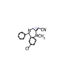 CN1/C(=C\C#N)CN=C(c2ccccc2)c2cc(Cl)ccc21